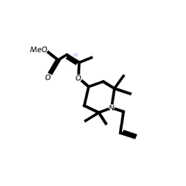 C=CCN1C(C)(C)CC(O/C(C)=C\C(=O)OC)CC1(C)C